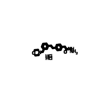 Cl.Cl.NNC(=O)Cc1ccc(CCc2cccc(CN3CCOCC3)c2)cc1